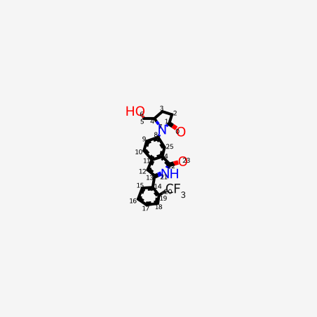 O=C1CCC(CO)N1c1ccc2cc(-c3ccccc3C(F)(F)F)[nH]c(=O)c2c1